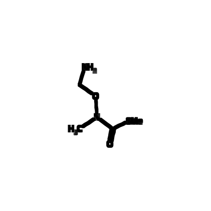 CSC(=O)N(C)OCN